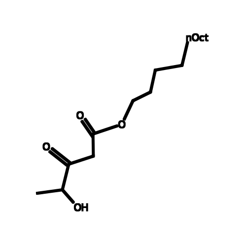 CCCCCCCCCCCCOC(=O)CC(=O)C(C)O